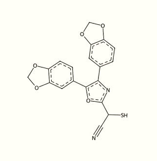 N#CC(S)c1nc(-c2ccc3c(c2)OCO3)c(-c2ccc3c(c2)OCO3)o1